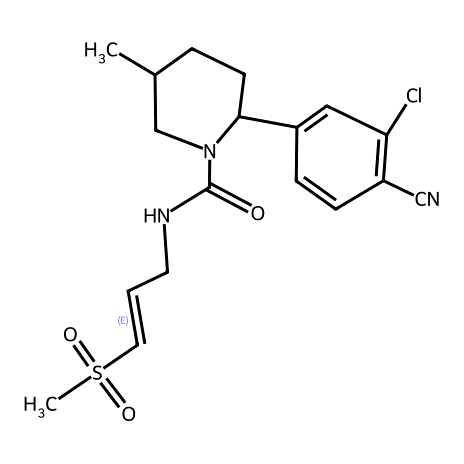 CC1CCC(c2ccc(C#N)c(Cl)c2)N(C(=O)NC/C=C/S(C)(=O)=O)C1